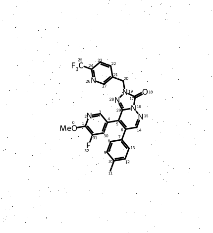 COc1ncc(-c2c(-c3ccc(C)cc3)cnn3c(=O)n(Cc4ccc(C(F)(F)F)nc4)nc23)cc1F